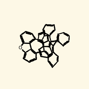 Fc1c2ccccc2c(-c2cccc3oc4cccc(-c5c6ccccc6c(-c6ccccc6)c6ccccc56)c4c23)c2ccccc12